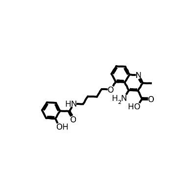 Cc1nc2cccc(OCCCCNC(=O)c3ccccc3O)c2c(N)c1C(=O)O